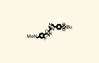 CCC(C)S(=O)(=O)c1ccc(-c2cncc(-c3nnc(-c4ccc(CNC)cc4F)o3)n2)cc1